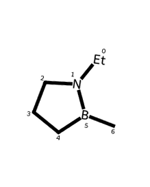 CCN1CCCB1C